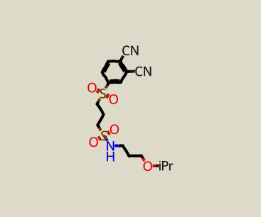 CC(C)OCCCNS(=O)(=O)CCCS(=O)(=O)c1ccc(C#N)c(C#N)c1